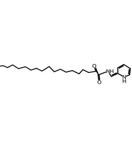 CCCCCCCCCCCCCCCCCC(=O)C(=O)NC=C1C=CC=CN1